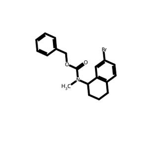 CN(C(=O)OCc1ccccc1)C1CCCc2ccc(Br)cc21